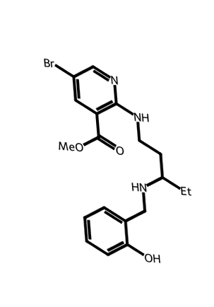 CCC(CCNc1ncc(Br)cc1C(=O)OC)NCc1ccccc1O